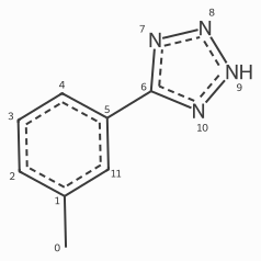 Cc1cccc(-c2nn[nH]n2)c1